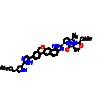 COCC1CN[C@H](c2ncc(-c3ccc4c(c3)COc3cc5c(ccc6nc([C@@H]7CC[C@H](C)N7C(=O)[C@@H](NC(=O)OC)C(C)C)[nH]c65)cc3-4)[nH]2)C1